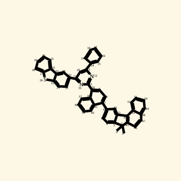 CC1(C)c2ccc(-c3ccc(-c4nc(-c5ccccc5)cc(-c5ccc6sc7ccccc7c6c5)n4)c4ccccc34)cc2-c2c1ccc1ccccc21